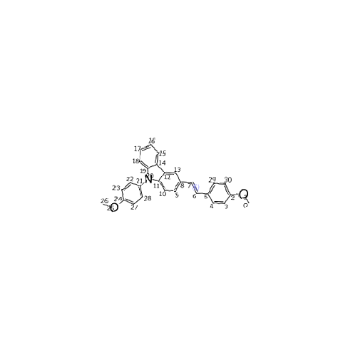 COc1ccc(/C=C/c2ccc3c(c2)c2ccccc2n3-c2ccc(OC)cc2)cc1